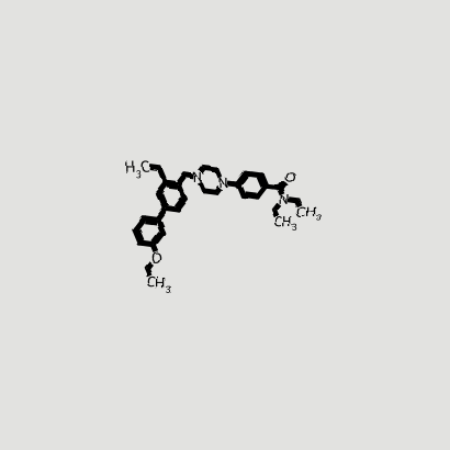 CCOc1cccc(-c2ccc(CN3CCN(c4ccc(C(=O)N(CC)CC)cc4)CC3)c(CC)c2)c1